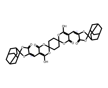 O=C1OC2(CCC3(CC2)OC(=O)C(/C=C2/SC4(OC2=O)C2CC5CC(C2)CC4C5)=C(O)O3)OC(O)=C1/C=C1/SC2(OC1=O)C1CC3CC(C1)CC2C3